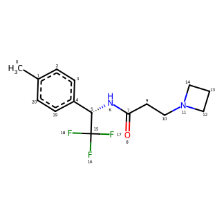 Cc1ccc([C@H](NC(=O)CCN2CCC2)C(F)(F)F)cc1